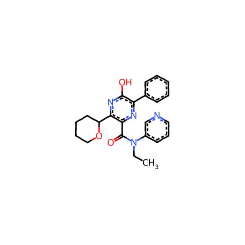 CCN(C(=O)c1nc(-c2ccccc2)c(O)nc1C1CCCCO1)c1cccnc1